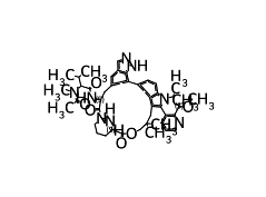 CCn1c(-c2cccnc2[C@H](C)OC)c2c3cc(ccc31)-c1cc(cc3cn[nH]c13)C[C@H](NC(=O)C(C(C)C)N(C)C(C)=O)C(=O)N1CCC[C@H](N1)C(=O)OCC(C)(C)C2